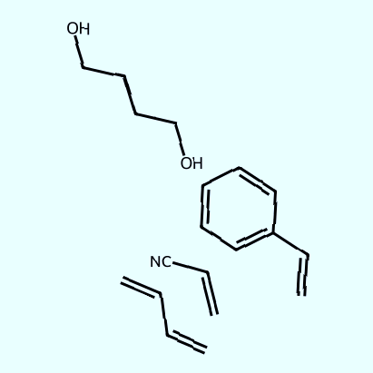 C=CC#N.C=CC=C.C=Cc1ccccc1.OCCCCO